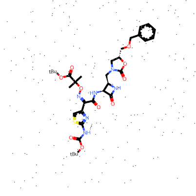 CC(C)(C)OC(=O)Nc1nc(C(=NOC(C)(C)C(=O)OC(C)(C)C)C(=O)N[C@@H]2C(=O)N[C@@H]2CN2C[C@H](COCc3ccccc3)OC2=O)cs1